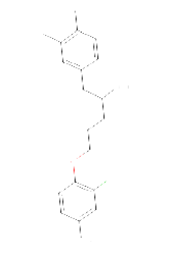 CCCCC(CCCOc1ccc(C=O)cc1Cl)Cc1ccc(C)c(C)c1